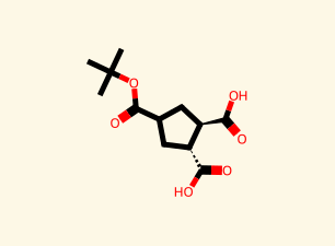 CC(C)(C)OC(=O)C1C[C@@H](C(=O)O)[C@H](C(=O)O)C1